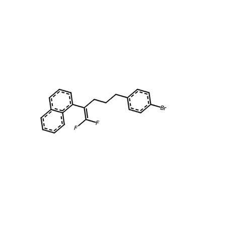 FC(F)=C(CCCc1ccc(Br)cc1)c1cccc2ccccc12